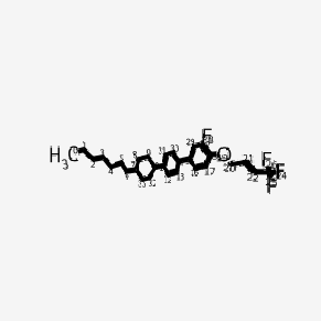 CCCCCCCC1CCC(c2ccc(-c3ccc(OCC=CC(F)(F)F)c(F)c3)cc2)CC1